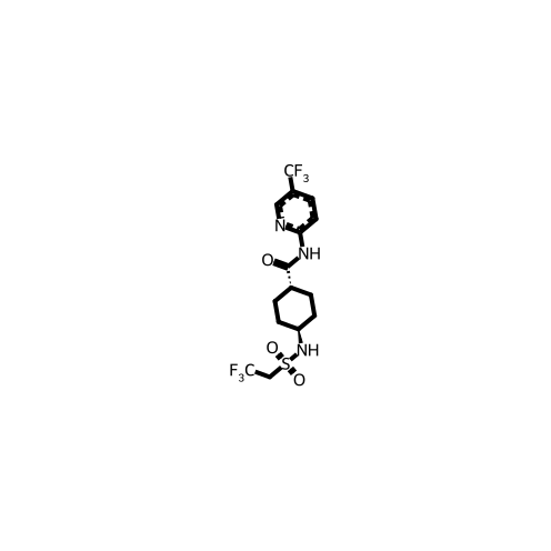 O=C(Nc1ccc(C(F)(F)F)cn1)[C@H]1CC[C@H](NS(=O)(=O)CC(F)(F)F)CC1